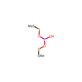 CSSOP(O)OSSC